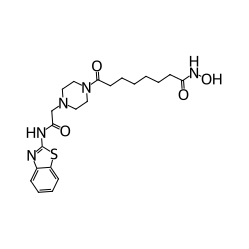 O=C(CCCCCCC(=O)N1CCN(CC(=O)Nc2nc3ccccc3s2)CC1)NO